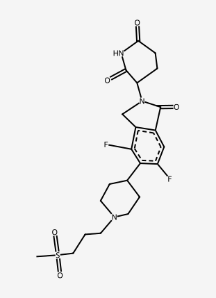 CS(=O)(=O)CCCN1CCC(c2c(F)cc3c(c2F)CN(C2CCC(=O)NC2=O)C3=O)CC1